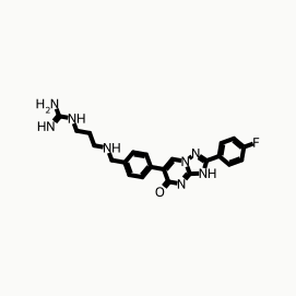 N=C(N)NCCCNCc1ccc(-c2cn3nc(-c4ccc(F)cc4)[nH]c3nc2=O)cc1